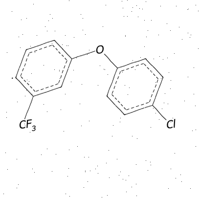 FC(F)(F)c1[c]ccc(Oc2ccc(Cl)cc2)c1